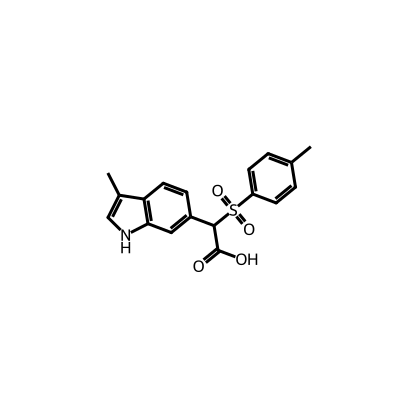 Cc1ccc(S(=O)(=O)C(C(=O)O)c2ccc3c(C)c[nH]c3c2)cc1